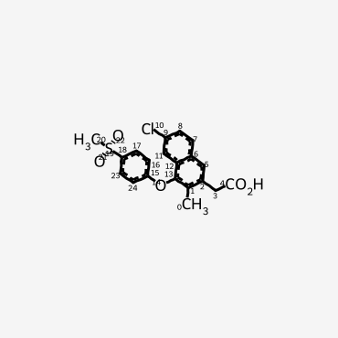 Cc1c(CC(=O)O)cc2ccc(Cl)cc2c1Oc1ccc(S(C)(=O)=O)cc1